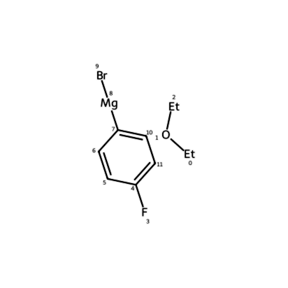 CCOCC.Fc1cc[c]([Mg][Br])cc1